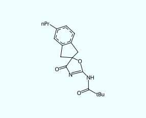 CCCc1ccc2c(c1)CC1(C2)OC(NC(=O)C(C)(C)C)=NC1=O